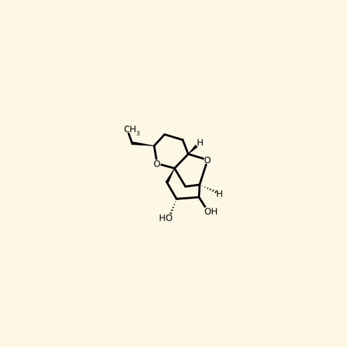 CC[C@H]1CC[C@@H]2O[C@@H]3C[C@]2(C[C@@H](O)C3O)O1